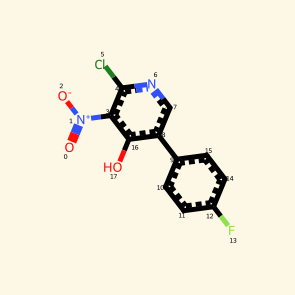 O=[N+]([O-])c1c(Cl)ncc(-c2ccc(F)cc2)c1O